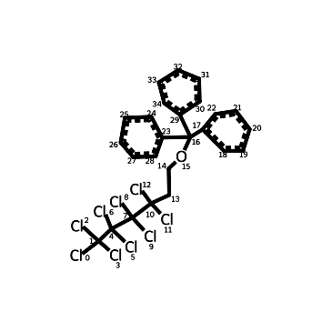 ClC(Cl)(Cl)C(Cl)(Cl)C(Cl)(Cl)C(Cl)(Cl)CCOC(c1ccccc1)(c1ccccc1)c1ccccc1